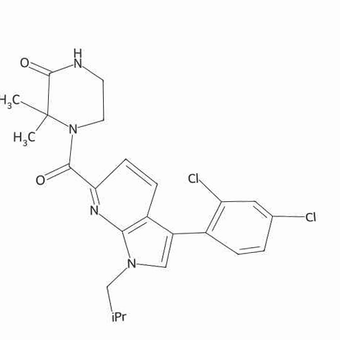 CC(C)Cn1cc(-c2ccc(Cl)cc2Cl)c2ccc(C(=O)N3CCNC(=O)C3(C)C)nc21